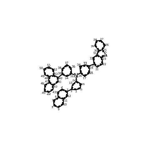 c1cc(-c2ccc3ccccc3c2)cc(N(c2ccc(-c3ccc4sc5ccccc5c4c3)cc2)c2cccc(-c3cc4ccccc4c4ccccc34)c2)c1